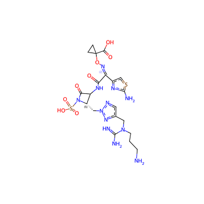 N=C(N)N(CCCN)Cc1cnn(C[C@H]2C(NC(=O)/C(=N\OC3(C(=O)O)CC3)c3csc(N)n3)C(=O)N2S(=O)(=O)O)n1